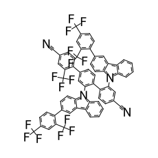 N#Cc1ccc(-c2ccc(-c3ccc(C#N)cc3C(F)(F)F)cc2-n2c3ccccc3c3cc(-c4ccc(C(F)(F)F)cc4C(F)(F)F)ccc32)c(-n2c3ccccc3c3cc(-c4ccc(C(F)(F)F)cc4C(F)(F)F)ccc32)c1